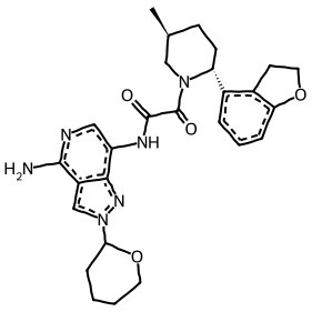 C[C@H]1CC[C@H](c2cccc3c2CCO3)N(C(=O)C(=O)Nc2cnc(N)c3cn(C4CCCCO4)nc23)C1